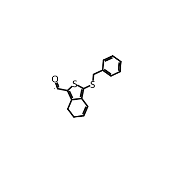 O=[C]c1sc(SCc2ccccc2)c2c1CCC=C2